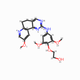 COc1cnc2c(c1)-c1nc(Nc3cc(OC)c(OCCO)c(OC)c3)ncc1CC2